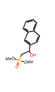 COP(=O)(CC(O)c1ccc2ccccc2c1)OC